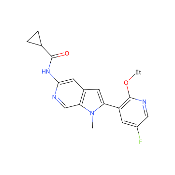 CCOc1ncc(F)cc1-c1cc2cc(NC(=O)C3CC3)ncc2n1C